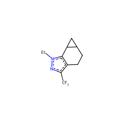 CCn1nc(C(F)(F)F)c2c1C1CC1CC2